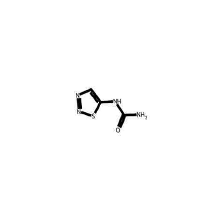 NC(=O)Nc1cnns1